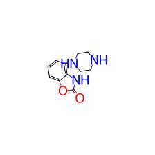 C1CNCCN1.O=c1[nH]c2ccccc2o1